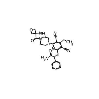 CCc1c(C#N)c(SC(C(N)=O)c2ccccc2)nc(N2CCN(C(=O)C3(N)COC3)CC2)c1C#N